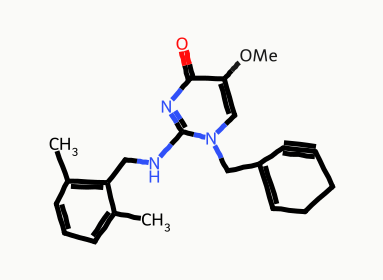 COc1cn(CC2=CCCC#C2)c(NCc2c(C)cccc2C)nc1=O